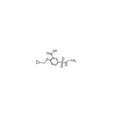 CCNS(=O)(=O)c1ccc(OCC2CC2)c(C(=O)O)c1